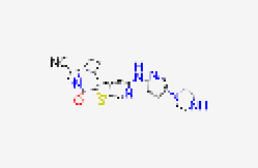 N#CC1CN(C(=O)c2sc3cnc(Nc4ccc(N5CCNCC5)cn4)cc3c2C2CCC2)C1